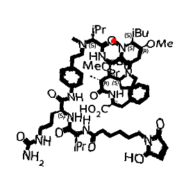 CC[C@H](C)[C@@H]([C@@H](CC(=O)N1CCC[C@H]1[C@H](OC)[C@@H](C)C(=O)N[C@@H](Cc1ccccc1)C(=O)O)OC)N(C)C(=O)[C@@H](NC(=O)[C@H](C(C)C)N(C)CCc1ccc(NC(=O)[C@H](CCCNC(N)=O)NC(=O)[C@@H](NC(=O)CCCCCN2C(=O)C=CC2O)C(C)C)cc1)C(C)C